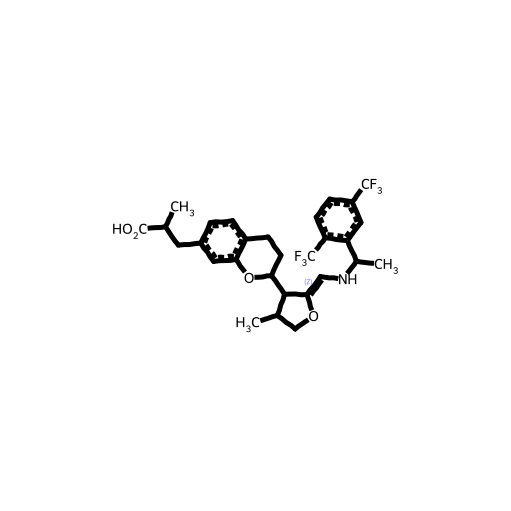 CC(Cc1ccc2c(c1)OC(C1/C(=C/NC(C)c3cc(C(F)(F)F)ccc3C(F)(F)F)OCC1C)CC2)C(=O)O